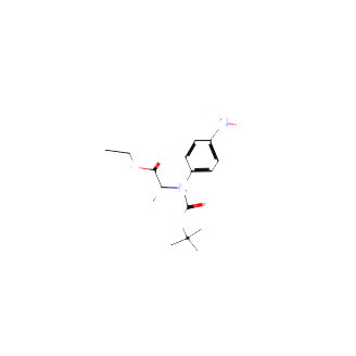 CCOC(=O)[C@H](C)N(C(=O)OC(C)(C)C)c1ccc([N+](=O)[O-])cc1